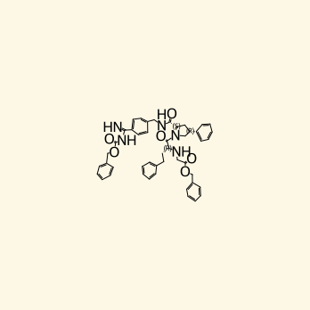 N=C(NC(=O)OCc1ccccc1)c1ccc(CNC(=O)[C@@H]2C[C@H](c3ccccc3)CN2C(=O)[C@@H](CCc2ccccc2)NCC(=O)OCc2ccccc2)cc1